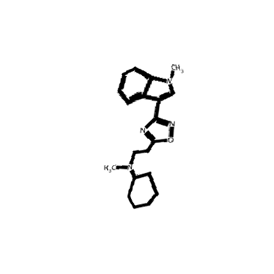 CN(CCc1nc(-c2cn(C)c3ccccc23)no1)C1CCCCC1